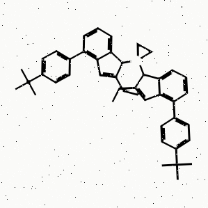 CCC1=Cc2c(-c3ccc(C(C)(C)C)cc3)cccc2[CH]1[Hf]1([CH]2C(CC)=Cc3c(-c4ccc(C(C)(C)C)cc4)cccc32)[CH2][CH2]1.Cl.Cl